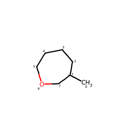 C[C]1CCCCOC1